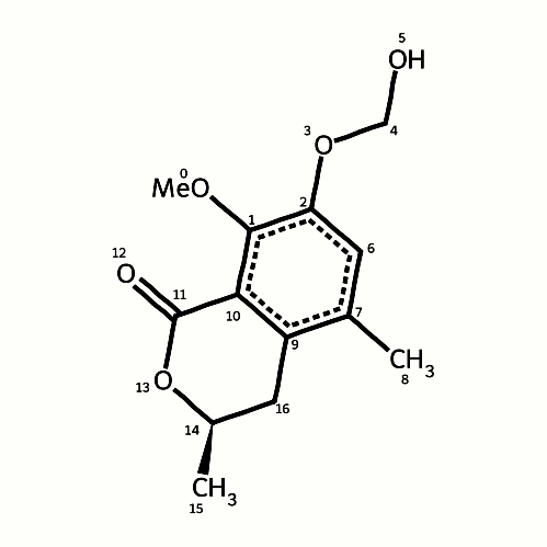 COc1c(OCO)cc(C)c2c1C(=O)O[C@H](C)C2